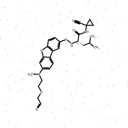 CC(C)C[C@H](NSc1ccc2oc3cc(N(C)CCOCC=O)ccc3c2c1)C(=O)NC1(C#N)CC1